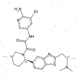 CCc1cc(NC(=O)C(=O)N2C[C@@H](C)CC[C@@H]2c2ccc3sc(C[C@H](C)N(C)C)nc3c2)cnc1N